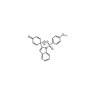 COc1ccc(S(=O)(=O)n2c(C3(O)C=CC(=O)C=C3)cc3ccccc32)cc1